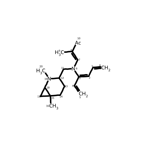 C=C/C=C(/C=C)N(/C=C(\C)C(C)=O)CC1CCC2(C)CC2N1C